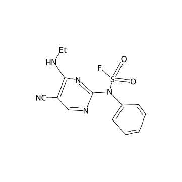 CCNc1nc(N(c2ccccc2)S(=O)(=O)F)ncc1C#N